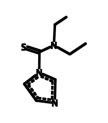 CCN(CC)C(=S)n1ccnc1